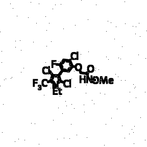 CCn1c(Cl)c(-c2cc(OCC(=O)NOC)c(Cl)cc2F)c(Cl)c1C(F)(F)F